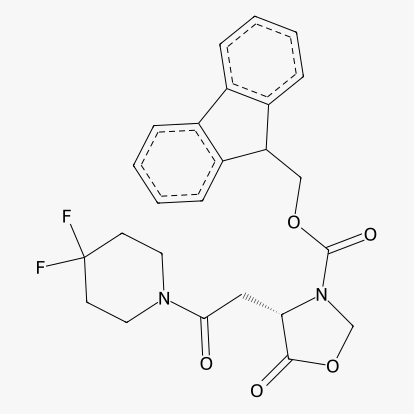 O=C1OCN(C(=O)OCC2c3ccccc3-c3ccccc32)[C@H]1CC(=O)N1CCC(F)(F)CC1